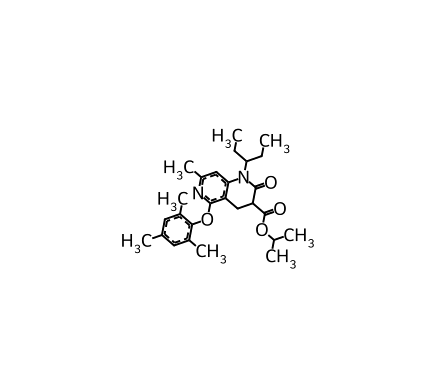 CCC(CC)N1C(=O)C(C(=O)OC(C)C)Cc2c1cc(C)nc2Oc1c(C)cc(C)cc1C